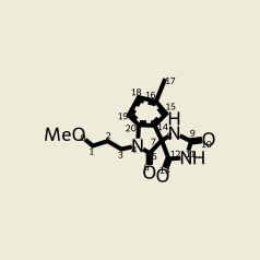 COCCCN1C(=O)C2(NC(=O)NC2=O)c2cc(C)ccc21